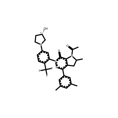 CC(=O)N1c2c(c(-c3cc(C)cc(C)c3)nn(-c3cc(N4CC[C@H](O)C4)ccc3C(F)(F)F)c2=O)CC1C